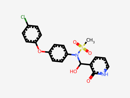 CS(=O)(=O)N(c1ccc(Oc2ccc(Cl)cc2)cc1)C(O)c1ccc[nH]c1=O